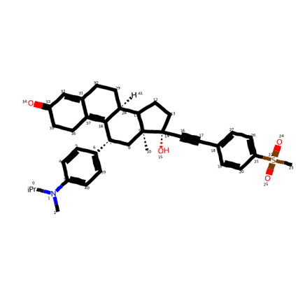 CC(C)N(C)c1ccc([C@H]2C[C@@]3(C)C(CC[C@@]3(O)C#Cc3ccc(S(C)(=O)=O)cc3)[C@@H]3CCC4=CC(=O)CCC4=C32)cc1